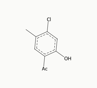 CC(=O)c1cc(C)c(Cl)cc1O